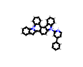 c1ccc(-c2ccnc(-n3c4ccccc4c4c5c6ccccc6n6c7ccccc7cc6c5ccc43)c2)cc1